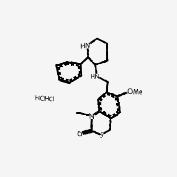 COc1cc2c(cc1CNC1CCCNC1c1ccccc1)N(C)C(=O)SC2.Cl.Cl